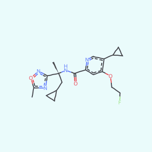 Cc1nc([C@@](C)(CC2CC2)NC(=O)c2cc(OCCF)c(C3CC3)cn2)no1